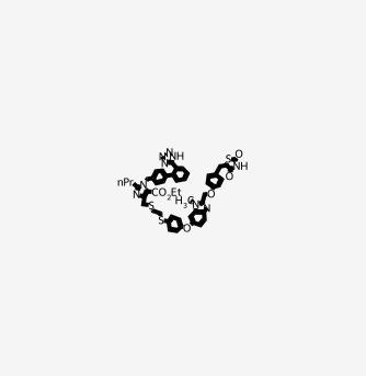 CCCc1nc(CSCCSc2ccc(Oc3ccc4nc(COc5ccc(CC6SC(=O)NC6=O)cc5)n(C)c4c3)cc2)c(C(=O)OCC)n1Cc1ccc(-c2ccccc2-c2nnn[nH]2)cc1